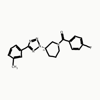 Cc1cccc(-c2nnn([C@H]3CCCN(C(=O)c4ccc(F)cc4)C3)n2)c1